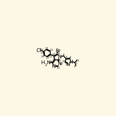 CC(C)n1cc(Cn2c(Br)c(-c3ccc(Cl)cc3)c3c(N)ncnc32)cn1